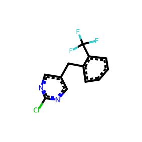 FC(F)(F)c1ccccc1Cc1cnc(Cl)nc1